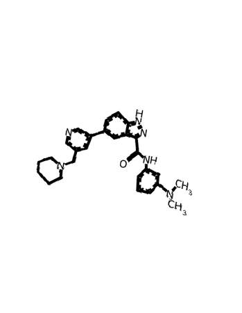 CN(C)c1cccc(NC(=O)c2n[nH]c3ccc(-c4cncc(CN5CCCCC5)c4)cc23)c1